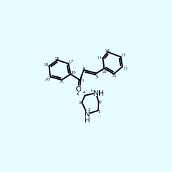 C1CNCCN1.O=C(C=Cc1ccccc1)c1ccccc1